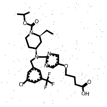 CC[C@H]1C[C@@H](N(Cc2cc(Cl)cc(C(F)(F)F)c2)c2ncc(OCCCC(=O)O)cn2)CCN1C(=O)OC(C)C